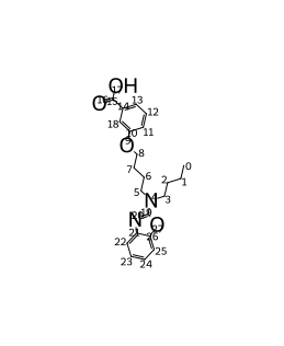 CCCCN(CCCCOc1cccc(C(=O)O)c1)c1nc2ccccc2o1